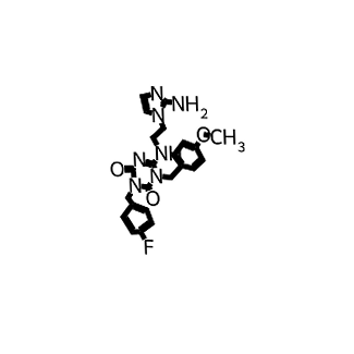 COc1ccc(Cn2c(NCCn3ccnc3N)nc(=O)n(Cc3ccc(F)cc3)c2=O)cc1